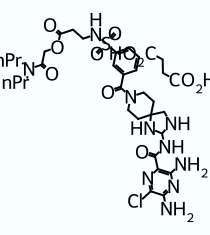 CCCN(CCC)C(=O)COC(=O)CCNS(=O)(=O)c1cccc(C(=O)N2CCC3(CC2)CNC(NC(=O)c2nc(Cl)c(N)nc2N)N3)c1.O=C(O)CCC(=O)O